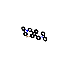 Brc1ccc2c(-c3cccc(-n4c5ccccc5c5ccccc54)c3)c3ccccc3c(-c3cccc(-n4c5ccccc5c5ccccc54)c3)c2c1